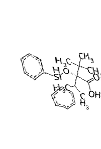 CC(C)[C@](O[SiH](c1ccccc1)c1ccccc1)(C(=O)O)C(C)(C)C